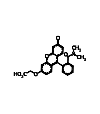 CN(C)C(=O)c1ccccc1-c1c2ccc(=O)cc-2oc2cc(OCC(=O)O)ccc12